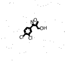 OCc1conc1-c1ccc(Cl)c(Cl)c1